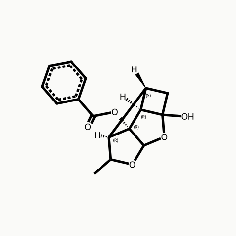 CC1OC2OC3(O)C[C@H]4[C@H]1[C@@]2(OC(=O)c1ccccc1)[C@@H]43